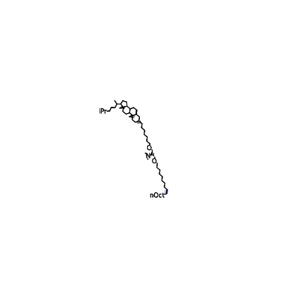 CCCCCCCC/C=C\CCCCCCCCOC[C@@H](COCCCCCCC[C@H]1CC[C@@]2(C)C(=CCC3C4CCC(C(C)CCCC(C)C)[C@@]4(C)CCC32)C1)N(C)C